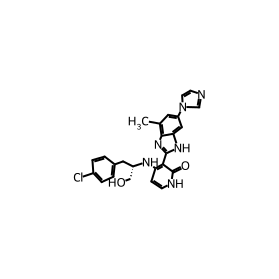 Cc1cc(-n2ccnc2)cc2[nH]c(-c3c(N[C@H](CO)Cc4ccc(Cl)cc4)cc[nH]c3=O)nc12